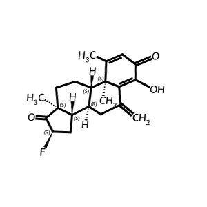 C=C1C[C@@H]2[C@H](CC[C@]3(C)C(=O)[C@H](F)C[C@@H]23)[C@@]2(C)C(C)=CC(=O)C(O)=C12